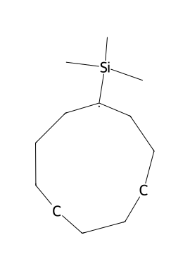 C[Si](C)(C)[C]1CCCCCCCCC1